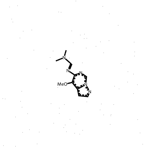 COc1c(N=CN(C)C)ncn2nccc12